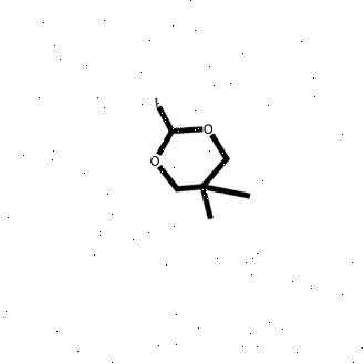 CC1(C)COC(I)OC1